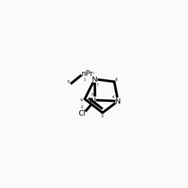 C[CH]CC.[Cl][Al]1[N]2C=C[N]1C2